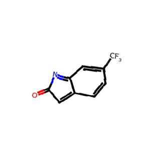 O=C1C=c2ccc(C(F)(F)F)cc2=N1